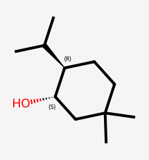 CC(C)[C@H]1CCC(C)(C)C[C@@H]1O